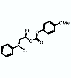 CCC(CN(CC)c1ccccc1)OC(=O)Oc1ccc(OC)cc1